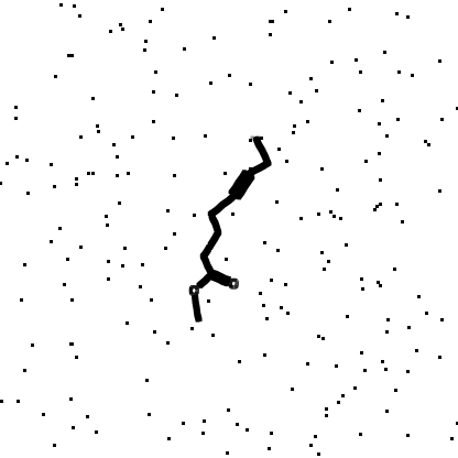 [CH2]CC#CCCCC(=O)OC